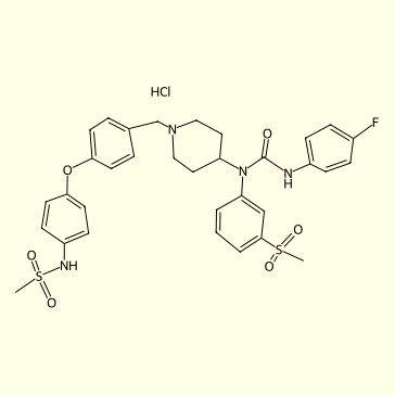 CS(=O)(=O)Nc1ccc(Oc2ccc(CN3CCC(N(C(=O)Nc4ccc(F)cc4)c4cccc(S(C)(=O)=O)c4)CC3)cc2)cc1.Cl